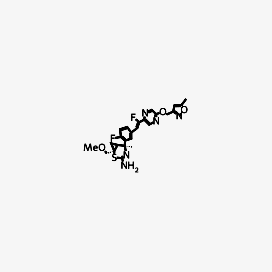 COC[C@]12CC1[C@@](C)(c1cc(/C=C(\F)c3cnc(OCc4cc(C)on4)cn3)ccc1F)N=C(N)S2